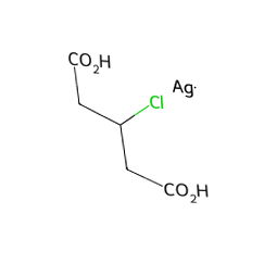 O=C(O)CC(Cl)CC(=O)O.[Ag]